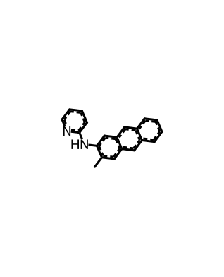 Cc1cc2cc3ccccc3cc2cc1Nc1ccccn1